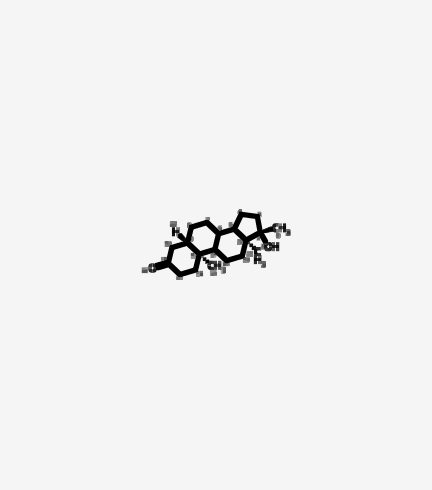 C[C@]1(O)CCC2C3CC[C@H]4CC(=O)CC[C@]4(C)C3CC[C@@]21C